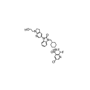 O=C(N[C@H]1CC[C@H](Cn2c(=O)n(-c3cnc4c(c3)CCN4CCO)c3ccccc32)CC1)c1cc(Cl)cnc1C(F)F